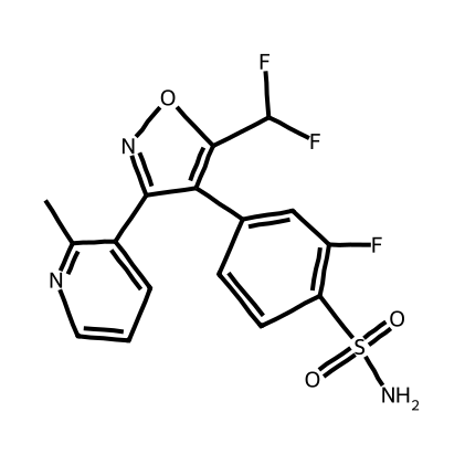 Cc1ncccc1-c1noc(C(F)F)c1-c1ccc(S(N)(=O)=O)c(F)c1